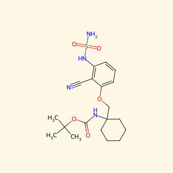 CC(C)(C)OC(=O)NC1(COc2cccc(NS(N)(=O)=O)c2C#N)CCCCC1